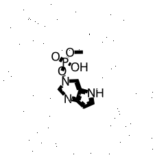 COP(=O)(O)ON1C=c2[nH]ccc2=NC1